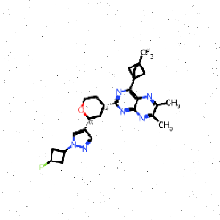 Cc1nc2nc([C@H]3CCO[C@@H](c4cnn(C5CC(F)C5)c4)C3)nc(C34CC(C(F)(F)F)(C3)C4)c2nc1C